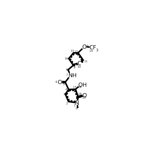 Cn1ccc(C(=O)NCc2ccc(OC(F)(F)F)cc2)c(O)c1=O